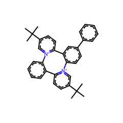 CC(C)(C)c1ccc2[n+](c1)-c1ccc(-c3ccccc3)cc1-c1ccc(C(C)(C)C)c[n+]1-c1ccccc1-2